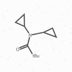 CC(C)(C)C(=O)N(C1CC1)C1CC1